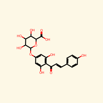 O=C(C=Cc1ccc(O)cc1)c1c(O)cc(OC2OC(C(=O)O)C(O)C(O)C2O)cc1O